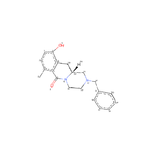 Cc1ccc(O)c2c1C(=O)N1CCN(Cc3ccccc3)C[C@H]1C2